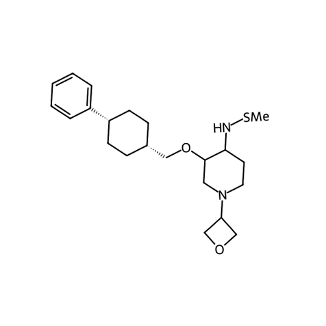 CSNC1CCN(C2COC2)CC1OC[C@H]1CC[C@@H](c2ccccc2)CC1